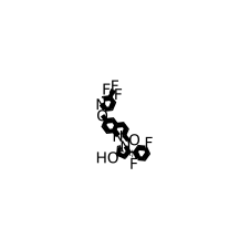 O=C(c1ccc2cc(Oc3ccc(C(F)(F)F)cn3)ccc2n1)N1C[C@@H](O)C[C@@H]1c1cc(F)ccc1F